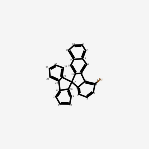 Brc1cccc2c1-c1cc3ccccc3cc1C21c2ccccc2-c2ccccc21